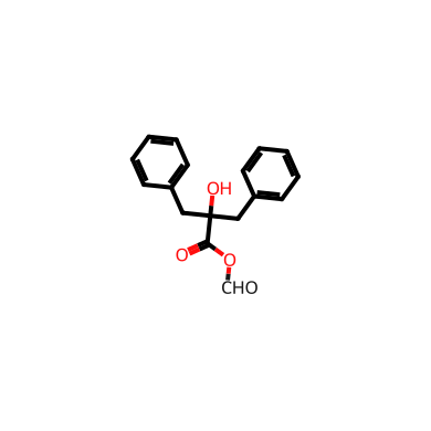 O=COC(=O)C(O)(Cc1ccccc1)Cc1ccccc1